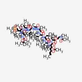 C/C=C/C[C@@H](C)[C@@H](OC(C)=O)[C@@H](C(=O)N[C@@H](CC)C(=O)OCCN(C)C(C)=O)N(C)C(=O)[C@H](C(C)C)N(C)C(=O)[C@H](CC(C)C)N(C)C(=O)[C@H](CC(C)C)N(C)C(=O)[C@@H](C)NC(=O)[C@H](C)NC(=O)[C@H](CC(C)C)N(C)C(=O)[C@@H](NC(=O)[C@H]([C@H](C)CS(C)(=O)=O)N(C)C(=O)[C@@H](C)N(C)C(=O)OC(C)(C)C)C(C)C